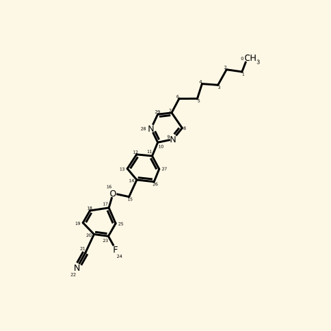 CCCCCCCc1cnc(-c2ccc(COc3ccc(C#N)c(F)c3)cc2)nc1